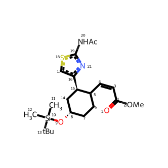 COC(=O)/C=C\C1CC[C@H](O[Si](C)(C)C(C)(C)C)C[C@H]1c1csc(NC(C)=O)n1